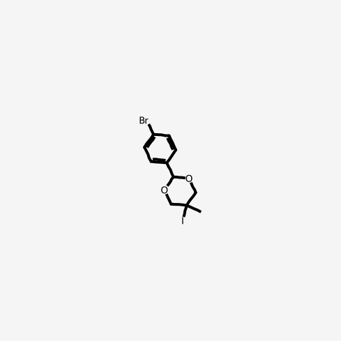 CC1(I)COC(c2ccc(Br)cc2)OC1